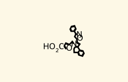 O=C(O)c1coc(Cn2c(C3CC(c4ccccc4)=NO3)cc3c2CCc2ccccc2-3)c1